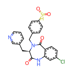 O=C1Nc2cc(Cl)ccc2C(=O)N(Cc2ccc([SH](=O)=O)cc2)[C@@H]1Cc1cccnc1